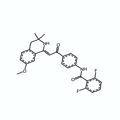 COc1ccc2c(c1)C(=CC(=O)c1ccc(NC(=O)c3c(F)cccc3F)cc1)NC(C)(C)C2